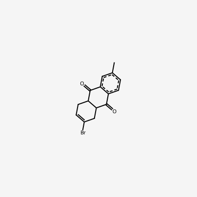 Cc1ccc2c(c1)C(=O)C1CC=C(Br)CC1C2=O